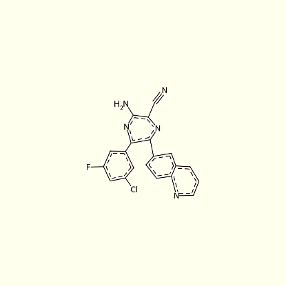 N#Cc1nc(-c2ccc3ncccc3c2)c(-c2cc(F)cc(Cl)c2)nc1N